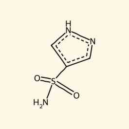 NS(=O)(=O)c1cn[nH]c1